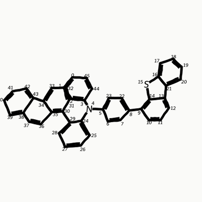 c1ccc(N(c2ccc(-c3cccc4c3sc3ccccc34)cc2)c2ccccc2-c2cccc3c2ccc2ccccc23)cc1